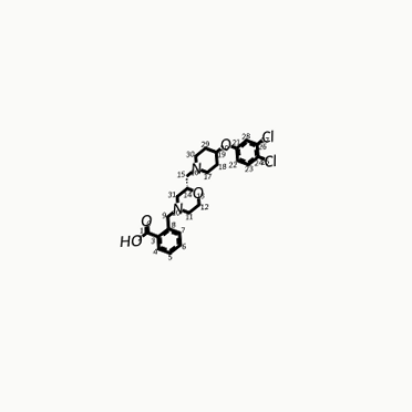 O=C(O)c1ccccc1CN1CCO[C@@H](CN2CCC(Oc3ccc(Cl)c(Cl)c3)CC2)C1